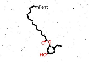 C=Cc1ccc(O)cc1OC(=O)CCCCCCC/C=C\C/C=C\CCCCC